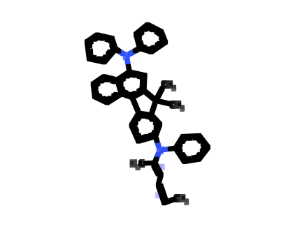 C/C=C\C=C(/C)N(c1ccccc1)c1ccc2c(c1)C(C)(C)c1cc(N(c3ccccc3)c3ccccc3)c3ccccc3c1-2